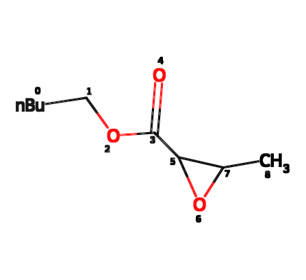 CCCCCOC(=O)C1OC1C